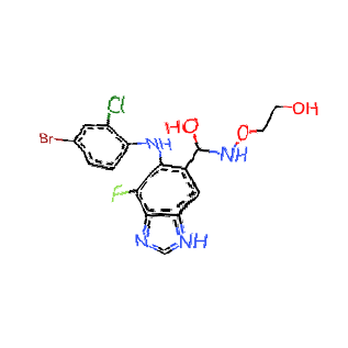 OCCONC(O)c1cc2[nH]cnc2c(F)c1Nc1ccc(Br)cc1Cl